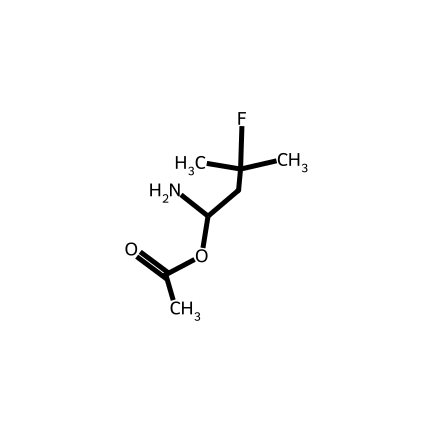 CC(=O)OC(N)CC(C)(C)F